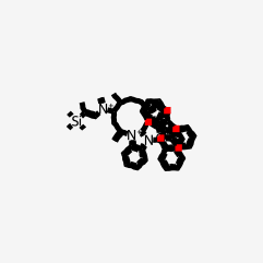 C=C1CC([N+](=C)/C=C(\C)[Si](C)(C)C)C(C)CCc2ccc3c(oc4ccccc43)c2-c2n(-c3c(-c4ccccc4)ccc4ccccc34)c3ccccc3[n+]21